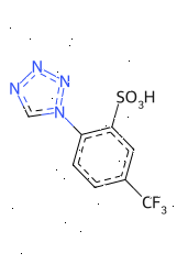 O=S(=O)(O)c1cc(C(F)(F)F)ccc1-n1cnnn1